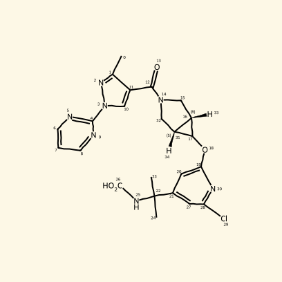 Cc1nn(-c2ncccn2)cc1C(=O)N1C[C@@H]2C(Oc3cc(C(C)(C)NC(=O)O)cc(Cl)n3)[C@@H]2C1